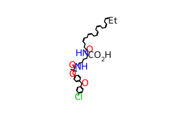 CC/C=C\C/C=C\C/C=C\C/C=C\C/C=C\C/C=C\CCC(=O)NC(CCCCNC(=O)C(C)(C)Oc1ccc(C(=O)c2ccc(Cl)cc2)cc1)C(=O)O